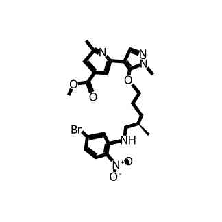 COC(=O)c1cc(C)nc(-c2cnn(C)c2OCCC[C@@H](C)CNc2cc(Br)ccc2[N+](=O)[O-])c1